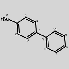 CC(C)(C)c1[c]cc(-c2ccccc2)cc1